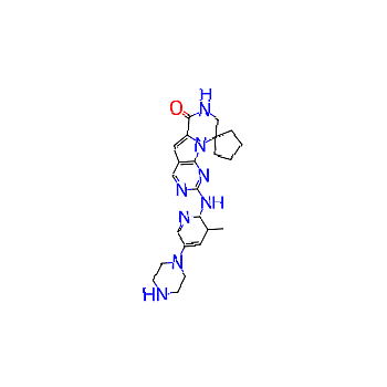 CC1C=C(N2CCNCC2)C=NC1Nc1ncc2cc3n(c2n1)C1(CCCC1)CNC3=O